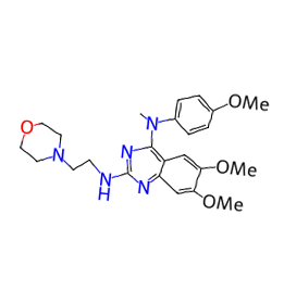 COc1ccc(N(C)c2nc(NCCN3CCOCC3)nc3cc(OC)c(OC)cc23)cc1